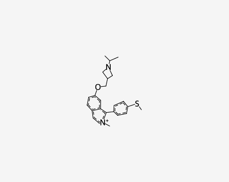 CSc1ccc(-c2c3cc(OCC4CN(C(C)C)C4)ccc3cc[n+]2C)cc1